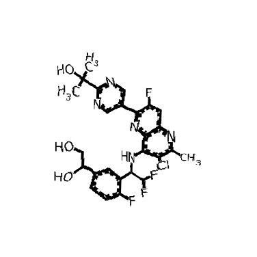 Cc1nc2cc(F)c(-c3cnc(C(C)(C)O)nc3)nc2c(NC(c2cc(C(O)CO)ccc2F)C(F)F)c1Cl